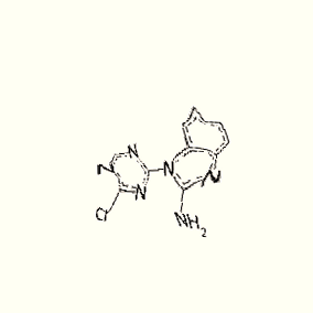 Nc1nc2ccccc2n1-c1ncnc(Cl)n1